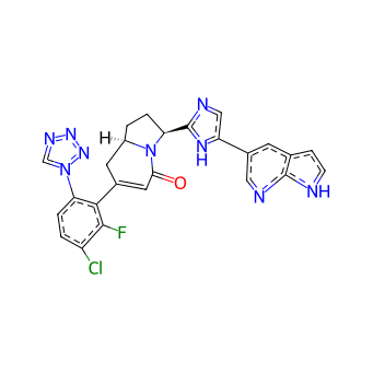 O=C1C=C(c2c(-n3cnnn3)ccc(Cl)c2F)C[C@H]2CC[C@@H](c3ncc(-c4cnc5[nH]ccc5c4)[nH]3)N12